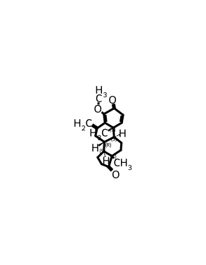 C=C1C[C@@H]2[C@H](CC[C@]3(C)C(=O)CC[C@@H]23)[C@@]2(C)C=CC(=O)C(OC)=C12